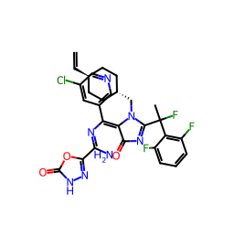 C=C[C@H]1CC[C@H](CN2C(C(C)(F)c3c(F)cccc3F)=NC(=O)/C2=C(\N=C(/N)c2n[nH]c(=O)o2)c2cncc(Cl)c2)CC1